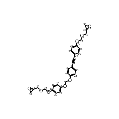 C(#Cc1ccc(OCOc2ccc(OCOCC3CO3)cc2)cc1)c1ccc(OCOCC2CO2)cc1